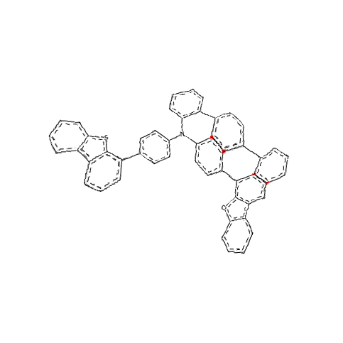 c1ccc(-c2ccc(-c3ccccc3N(c3ccc(-c4cccc5c4oc4ccccc45)cc3)c3ccc(-c4cccc5c4sc4ccccc45)cc3)cc2)cc1